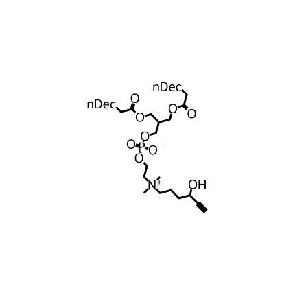 C#CC(O)CCC[N+](C)(C)CCOP(=O)([O-])OCC(COC(=O)CCCCCCCCCCC)COC(=O)CCCCCCCCCCC